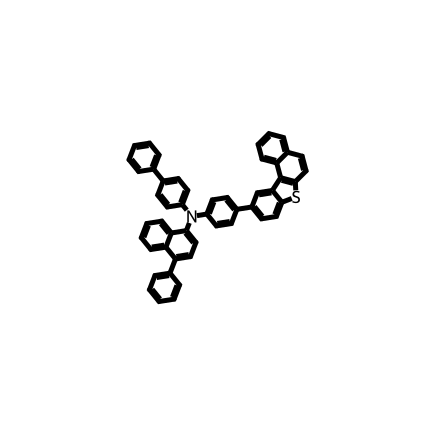 c1ccc(-c2ccc(N(c3ccc(-c4ccc5sc6ccc7ccccc7c6c5c4)cc3)c3ccc(-c4ccccc4)c4ccccc34)cc2)cc1